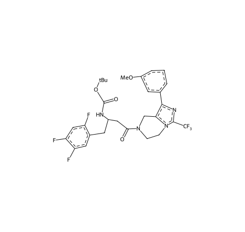 COc1cccc(-c2nc(C(F)(F)F)n3c2CN(C(=O)CC(Cc2cc(F)c(F)cc2F)NC(=O)OC(C)(C)C)CC3)c1